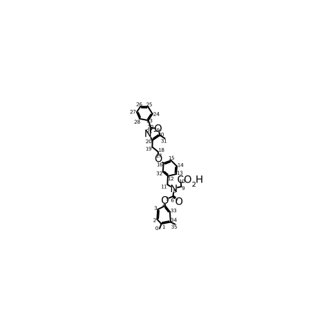 Cc1ccc(OC(=O)N(CC(=O)O)Cc2cccc(OCCc3nc(-c4ccccc4)oc3C)c2)cc1C